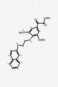 COC(=O)C(=O)c1cc(OC)c(OCCOc2ccc3ccccc3c2)c(OC)c1